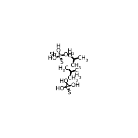 CC(C)C.CC(C)C.OP(O)(O)=S.OP(O)(O)=S.[Sb]